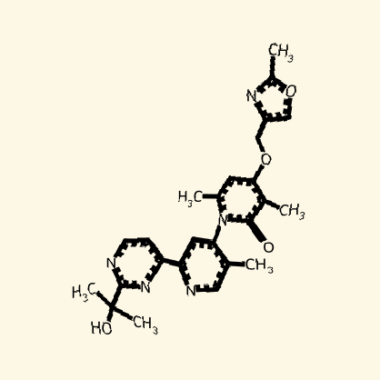 Cc1nc(COc2cc(C)n(-c3cc(-c4ccnc(C(C)(C)O)n4)ncc3C)c(=O)c2C)co1